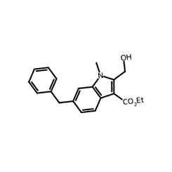 CCOC(=O)c1c(CO)n(C)c2cc(Cc3ccccc3)ccc12